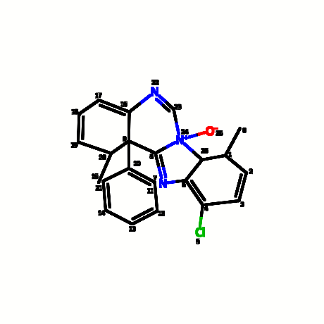 CC1C=CC(Cl)=C2N=C3C4(c5ccccc5)C(=CC=CC4C)N=C[N+]3([O-])C21